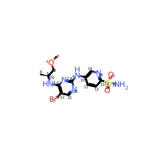 COC[C@H](C)Nc1nc(Nc2ccc(S(N)(=O)=O)nc2)ncc1Br